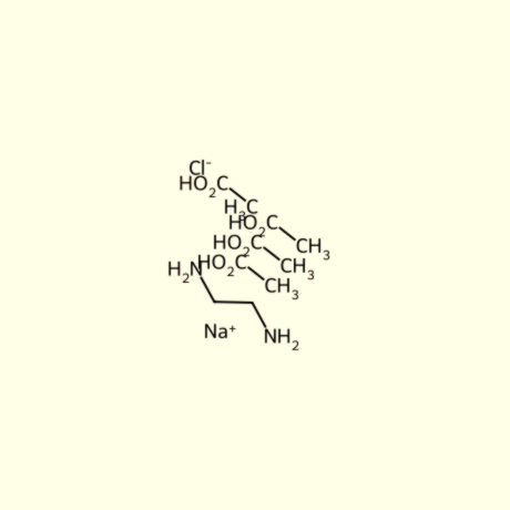 CC(=O)O.CC(=O)O.CC(=O)O.CC(=O)O.NCCN.[Cl-].[Na+]